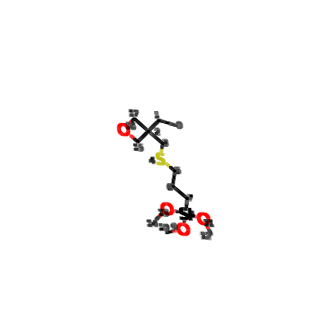 CCC1(CSCCC[Si](OC)(OC)OC)COC1